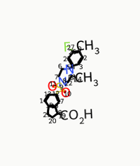 Cc1ccc(N2CCN(S(=O)(=O)c3ccc4c(c3)C(C(=O)O)CC4)C[C@@H]2C)cc1F